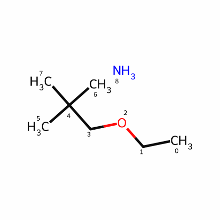 CCO[CH]C(C)(C)C.N